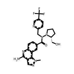 Cn1ncc2c(N)nc3ccc(C(=O)N(Cc4ccc(C(F)(F)F)cn4)N4CCC[C@@H]4CO)cc3c21